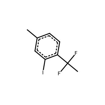 Cc1ccc(C(C)(F)F)c(I)c1